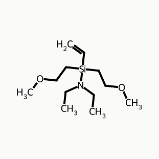 C=C[Si](CCOC)(CCOC)N(CC)CC